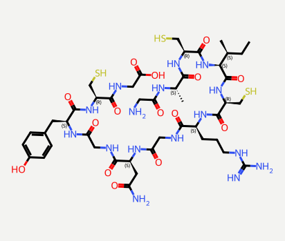 CC[C@H](C)[C@H](NC(=O)[C@H](CS)NC(=O)[C@H](C)NC(=O)CN)C(=O)N[C@@H](CS)C(=O)N[C@@H](CCCNC(=N)N)C(=O)NCC(=O)N[C@@H](CC(N)=O)C(=O)NCC(=O)N[C@@H](Cc1ccc(O)cc1)C(=O)N[C@@H](CS)C(=O)NCC(=O)O